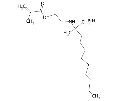 Br.C=C(C)C(=O)OCCNC(C)(C)CCCCCCCCC